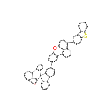 c1ccc2c(c1)-c1ccc(-c3ccc4c(c3)-c3cccc5c(-c6ccc7sc8ccccc8c7c6)ccc(c35)O4)cc1C21c2ccccc2-c2cccc3cccc1c23